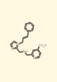 O=C(O)c1ccnc(CNCc2nccn2CC=Cc2ccccc2)c1